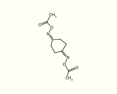 CC(=O)ON=C1CCC(=NOC(C)=O)CC1